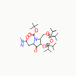 CNC(=O)CC1C(=O)C2O[Si](C(C)C)(C(C)C)O[Si](C(C)C)(C(C)C)OCC2N1C(=O)OC(C)(C)C